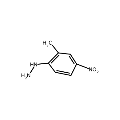 Cc1cc([N+](=O)[O-])ccc1NN